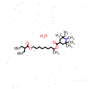 CC(CCCCCCCOC(=O)C(CC(C)(C)C)CC(C)(C)C)OC(=O)C1CC(C)(C)N(C)C(C)(C)C1.O